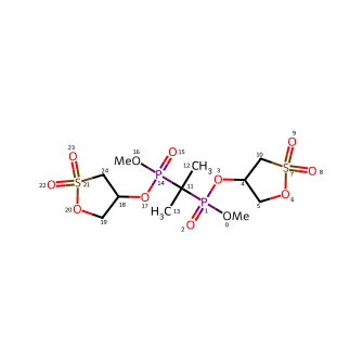 COP(=O)(OC1COS(=O)(=O)C1)C(C)(C)P(=O)(OC)OC1COS(=O)(=O)C1